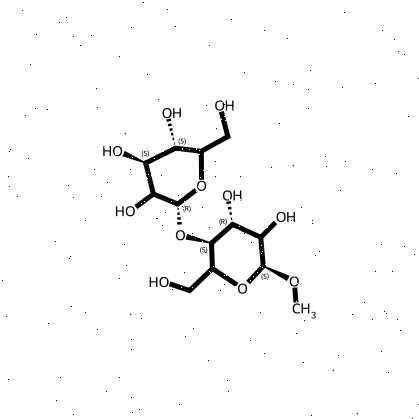 CO[C@H]1OC(CO)[C@@H](O[C@H]2OC(CO)[C@@H](O)[C@H](O)C2O)[C@H](O)C1O